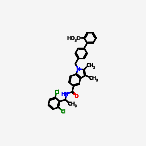 Cc1c(C)n(Cc2ccc(-c3ccccc3C(=O)O)cc2)c2ccc(C(=O)NC(C)c3c(Cl)cccc3Cl)cc12